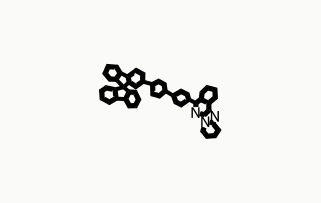 c1ccc2c(c1)-c1ccccc1C21c2ccccc2-c2ccc(-c3ccc(-c4ccc(-c5nc6c(nc7ccccn76)c6ccccc56)cc4)cc3)cc21